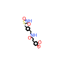 COc1ccc(C=CC(=O)NCCc2ccc(C[C@@H]3SC(=O)NC3=O)cc2)cc1OC